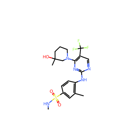 CNS(=O)(=O)c1ccc(Nc2ncc(C(F)(F)F)c(N3CCCC(C)(O)C3)n2)c(C)c1